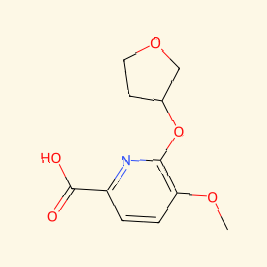 COc1ccc(C(=O)O)nc1OC1CCOC1